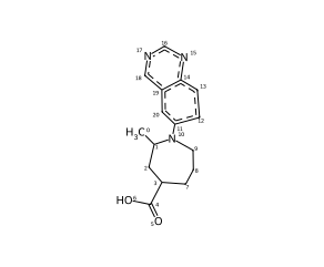 CC1CC(C(=O)O)CCCN1c1ccc2ncncc2c1